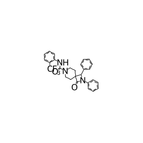 O=C(Nc1ccccc1C(F)(F)F)N1CCC2(CC1)C(=O)N(c1ccccc1)C2c1ccccc1